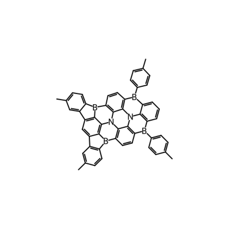 Cc1ccc(B2c3cccc4c3N3c5c2ccc2c5N5c6c7c(cc8c6B(c6ccc(C)cc6-8)c6ccc(c3c65)B4c3ccc(C)cc3)-c3cc(C)ccc3B27)cc1